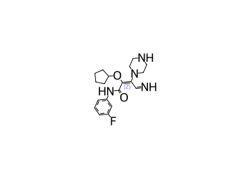 N=C/C(=C(/OC1CCCC1)C(=O)Nc1cccc(F)c1)N1CCNCC1